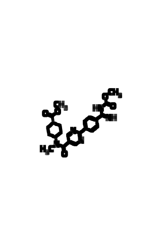 COC(=O)NC(=N)c1ccc(-c2ncc(C(=O)N(C)[C@H]3CC[C@H](C(=O)OC)CC3)cn2)cc1